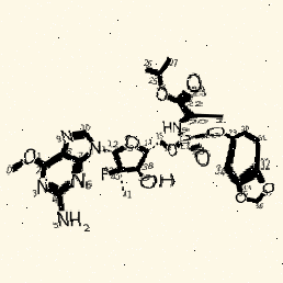 COc1nc(N)nc2c1ncn2[C@@H]1O[C@H](COP(=O)(NC(C)C(=O)OC(C)C)Oc2ccc3c(c2)OCO3)[C@@H](O)[C@@]1(C)F